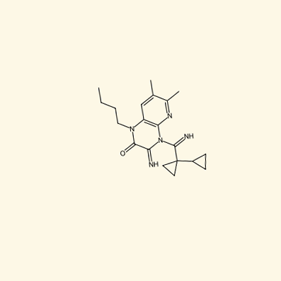 CCCCn1c(=O)c(=N)n(C(=N)C2(C3CC3)CC2)c2nc(C)c(C)cc21